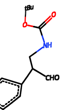 CC(C)(C)OC(=O)NCC(C=O)c1ccccc1